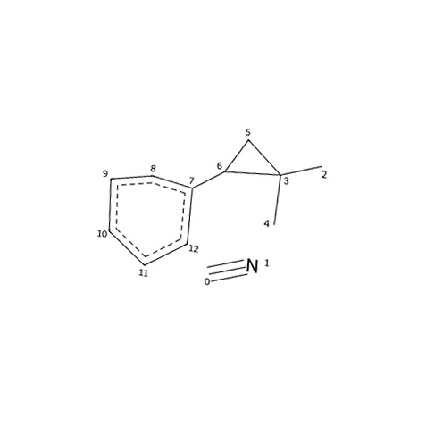 C#N.CC1(C)CC1c1ccccc1